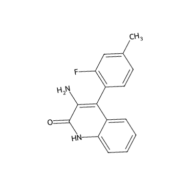 Cc1ccc(-c2c(N)c(=O)[nH]c3ccccc23)c(F)c1